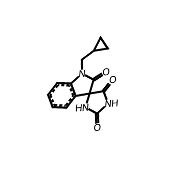 O=C1NC(=O)C2(N1)C(=O)N(CC1CC1)c1ccccc12